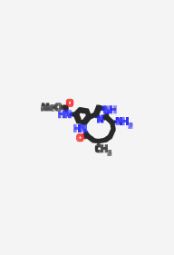 COC(=O)Nc1ccc2c(c1)NC(=O)C[C@@H](C)CCC[C@H](N)c1nc-2c[nH]1